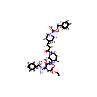 CCOC(=O)C[C@@H](NC(=O)c1ccccc1)C(=O)NC1CCCN(C(=O)CCC2CCN(C(=O)OCc3ccccc3)CC2)C1